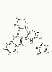 c1ccc(-c2[nH]c(Cc3ccsc3)nc2-c2ccc3ccccc3c2)cc1